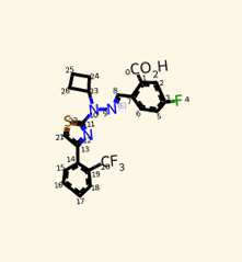 O=C(O)c1cc(F)ccc1/C=N/N(c1nc(-c2ccccc2C(F)(F)F)cs1)C1CCC1